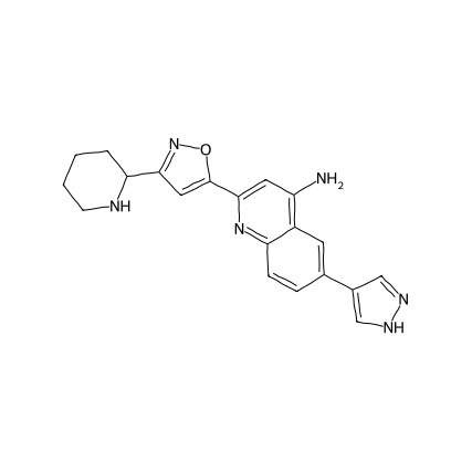 Nc1cc(-c2cc(C3CCCCN3)no2)nc2ccc(-c3cn[nH]c3)cc12